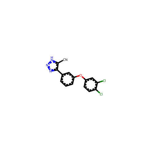 N#Cc1[nH]nnc1-c1cccc(Oc2ccc(Cl)c(Cl)c2)c1